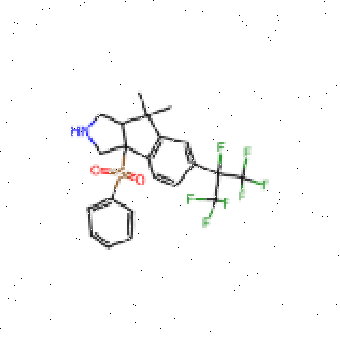 CC1(C)c2cc(C(F)(C(F)(F)F)C(F)(F)F)ccc2C2(S(=O)(=O)c3ccccc3)CNCC12